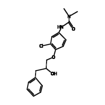 CN(C)C(=O)Nc1ccc(OCC(O)Cc2ccccc2)c(Cl)c1